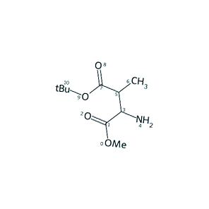 COC(=O)C(N)C(C)C(=O)OC(C)(C)C